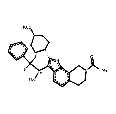 COC(=O)N1CCc2ccc3c(nc([C@H]4CC[C@H](C(=O)O)CC4)n3[C@H](C)C(F)(F)c3ccccc3)c2C1